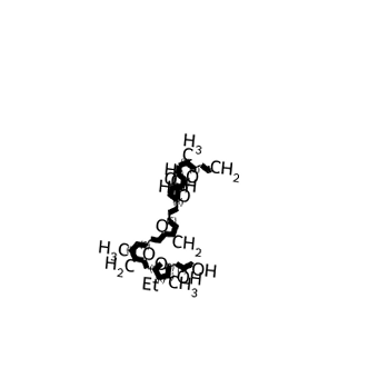 C=CC[C@@H]1O[C@H]2[C@H]3O[C@]4(CC[C@H]5CC(=C)C(CC[C@H]6C[C@@H](C)C(=C)C(C[C@@H]7O[C@H](C[C@H](O)CO)[C@H](C)[C@H]7CC)O6)O5)C[C@H]3O[C@H]2C(O4)[C@H]1C